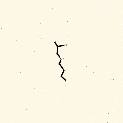 CCCCOCC(C)[O]